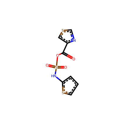 O=C(OS(=O)(=O)Nc1cccs1)c1cscn1